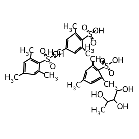 CC(O)C(O)CO.Cc1cc(C)c(S(=O)(=O)O)c(C)c1.Cc1cc(C)c(S(=O)(=O)O)c(C)c1.Cc1cc(C)c(S(=O)(=O)O)c(C)c1